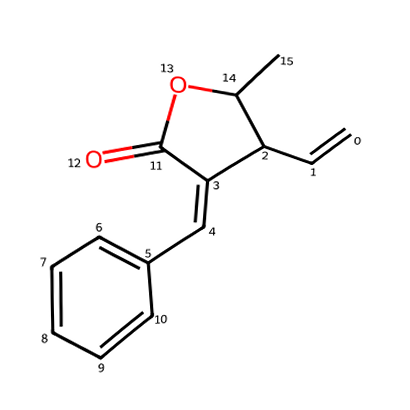 C=CC1/C(=C/c2ccccc2)C(=O)OC1C